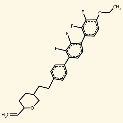 C=CC1CCC(CCc2ccc(-c3ccc(-c4ccc(OCC)c(F)c4F)c(F)c3F)cc2)CO1